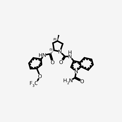 C[C@@H]1C[C@@H](C(=O)Nc2cccc(OC(F)(F)F)c2)N(C(=O)Nc2cn(C(N)=O)c3ccccc23)C1